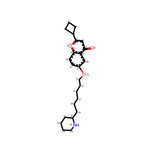 O=c1cc(C2CCC2)oc2ccc(OCCCCCCC3CCCCN3)cc12